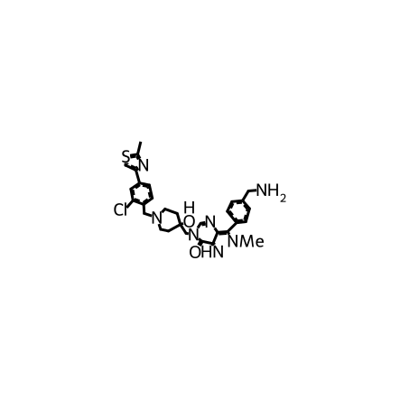 CN/C(=C1/N=CN(CC2(O)CCN(Cc3ccc(-c4csc(C)n4)cc3Cl)CC2)C(=O)C1=N)c1ccc(CN)cc1